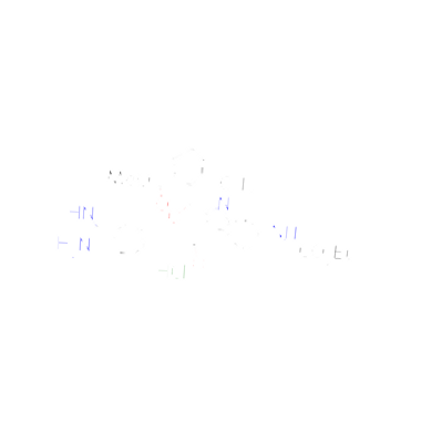 CCOC(=O)CNc1ccc2c(C(=O)CCc3ccc(C(=N)N)cc3)c(C(=O)c3ccccc3C(=O)OC)n(C)c2c1.Cl